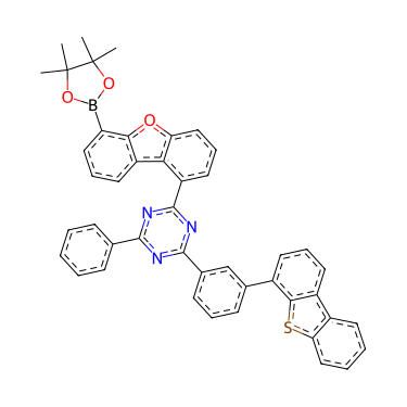 CC1(C)OB(c2cccc3c2oc2cccc(-c4nc(-c5ccccc5)nc(-c5cccc(-c6cccc7c6sc6ccccc67)c5)n4)c23)OC1(C)C